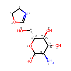 C1=NCCO1.N[C@H]1C(O)O[C@H](CO)[C@@H](O)[C@@H]1O